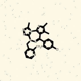 Cc1sc2c(c1C)C(c1ccc(Cl)cc1)=NN(Cc1cccnc1C(=O)O)c1nnc(C)n1-2